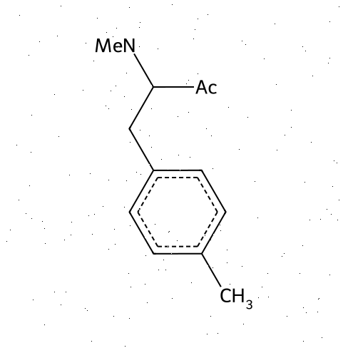 CNC(Cc1ccc(C)cc1)C(C)=O